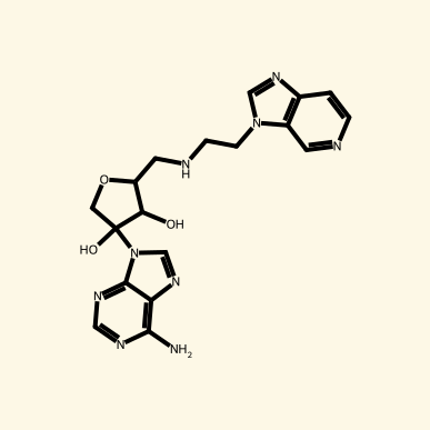 Nc1ncnc2c1ncn2C1(O)COC(CNCCn2cnc3ccncc32)C1O